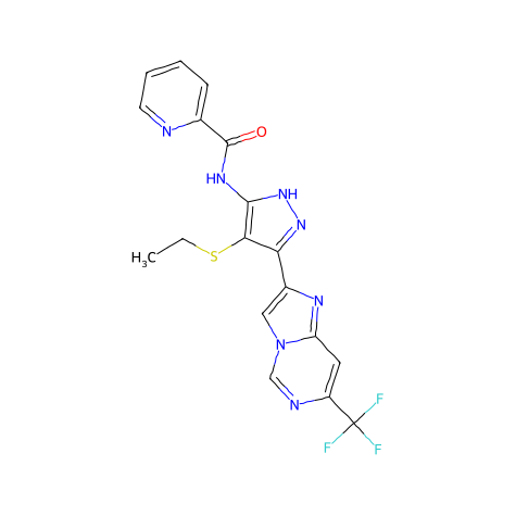 CCSc1c(-c2cn3cnc(C(F)(F)F)cc3n2)n[nH]c1NC(=O)c1ccccn1